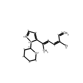 C=C/C(=C\C=C(/C)c1ccnn1C1CCCCO1)CC